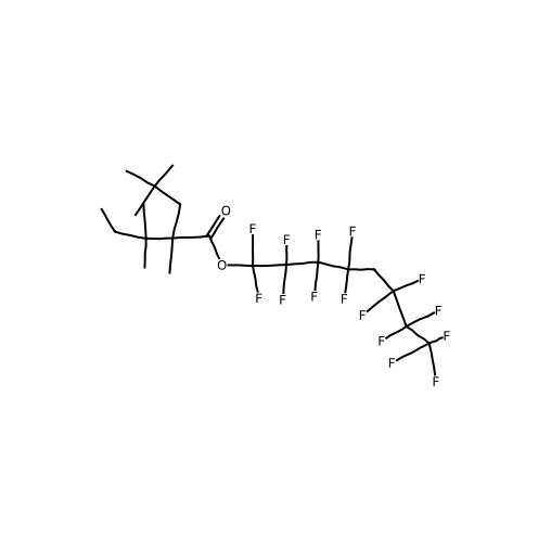 CCC(C)(C)C(C)(CC(C)(C)C)C(=O)OC(F)(F)C(F)(F)C(F)(F)C(F)(F)CC(F)(F)C(F)(F)C(F)(F)F